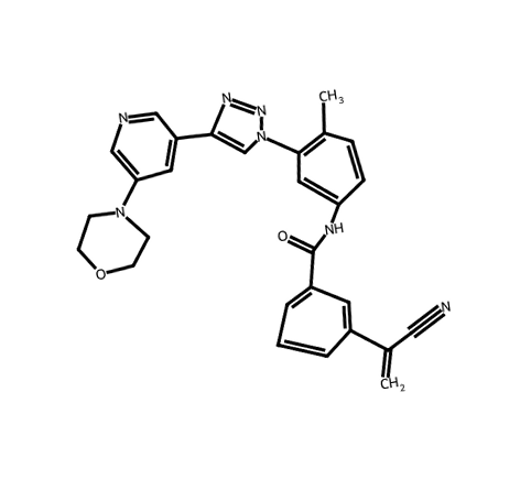 C=C(C#N)c1cccc(C(=O)Nc2ccc(C)c(-n3cc(-c4cncc(N5CCOCC5)c4)nn3)c2)c1